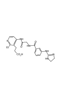 CCc1nccc(NC(=O)CNC(=O)c2cccc(NC3=NCCN3)c2)c1CCC(=O)O